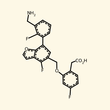 NCc1cccc(-c2cc(COc3cc(F)ccc3CC(=O)O)c(F)c3ccoc23)c1F